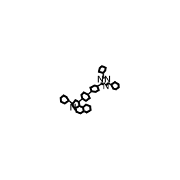 c1ccc(-c2cc(-c3ccc(-c4ccc(-c5nc(-c6ccccc6)nc(-c6ccccc6)n5)cc4)cc3)c3c(ccc4ccccc43)n2)cc1